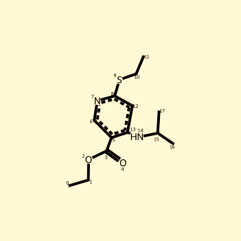 CCOC(=O)c1cnc(SCC)cc1NC(C)C